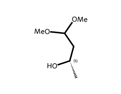 COC(C[C@H](C)O)OC